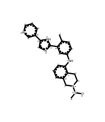 Cc1ccc(Nc2cccc3c2CCN([S+](C)[O-])C3)cc1-c1ncc(-c2cccnc2)[nH]1